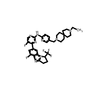 CCN1CCC2(CC1)CCN(Cc1ccc(Nc3ncc(F)c(-c4cc(F)c5nc6n(c5c4)C(C(F)(F)F)CC6)n3)nc1)CC2